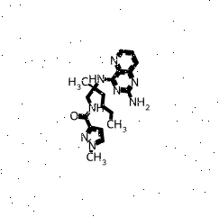 CCCC[C@](C)(CNC(=O)c1ccn(C)n1)Nc1nc(N)nc2cccnc12